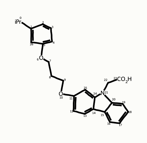 CC(C)c1cccc(OCCCOc2ccc3c4ccccc4n(CC(=O)O)c3c2)c1